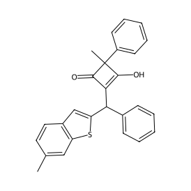 Cc1ccc2cc(C(C3=C(O)C(C)(c4ccccc4)C3=O)c3ccccc3)sc2c1